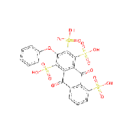 O=C1c2cccc(S(=O)(=O)O)c2C(=O)c2c1c(S(=O)(=O)O)c(Oc1ccccc1)c(S(=O)(=O)O)c2S(=O)(=O)O